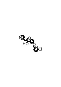 OC1c2cc(OCc3cccc(Cl)n3)ccc2OCC1Cc1cccnc1